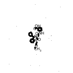 CCOCCN1C(=O)N(CC(=O)Nc2cccc(C(=O)O)c2)N=C(C2CCCCC2)c2ccccc21